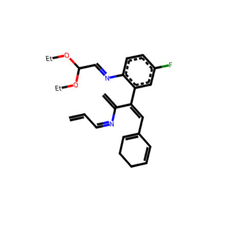 C=C/C=N\C(=C)/C(=C\C1=CCCC=C1)c1cc(F)ccc1/N=C/C(OCC)OCC